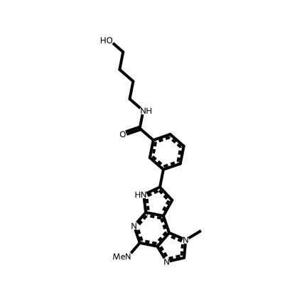 CNc1nc2[nH]c(-c3cccc(C(=O)NCCCCO)c3)cc2c2c1ncn2C